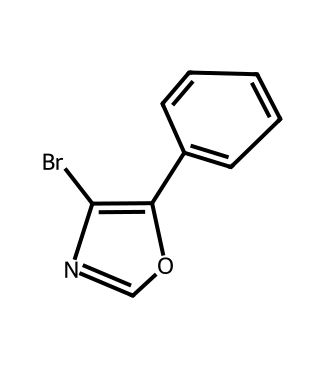 Brc1ncoc1-c1ccccc1